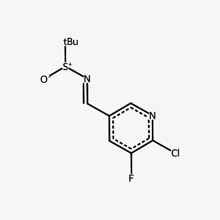 CC(C)(C)[S+]([O-])N=Cc1cnc(Cl)c(F)c1